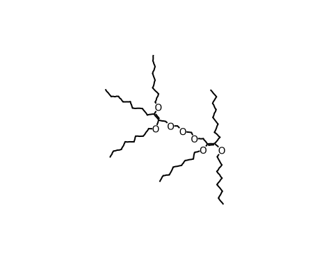 CCCCCCCCOC(CCCCCCCC)=C(COCOCOCC(OCCCCCCCC)=C(CCCCCCCC)OCCCCCCCC)OCCCCCCCC